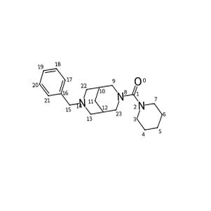 O=C(N1CCCCC1)N1CC2CC(CN(Cc3ccccc3)C2)C1